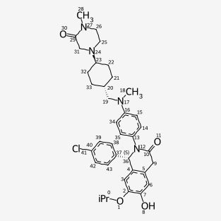 CC(C)Oc1cc2c(cc1O)CC(=O)N(c1ccc(N(C)C[C@H]3CC[C@H](N4CCN(C)C(=O)C4)CC3)cc1)[C@H]2c1ccc(Cl)cc1